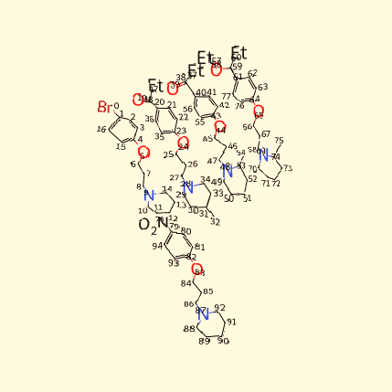 Brc1ccc(OCCCN2CCCCC2)cc1.CCC(=O)c1ccc(OCCCN2CCC(C)CC2)cc1.CCC(=O)c1ccc(OCCCN2CCCCC2C)cc1.CCOC(CC)c1ccc(OCCCN2CCCCC2C)cc1.O=[N+]([O-])c1ccc(OCCCN2CCCCC2)cc1